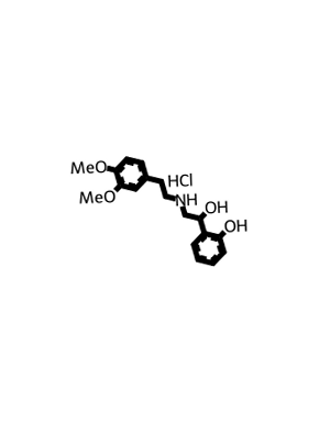 COc1ccc(CCNCC(O)c2ccccc2O)cc1OC.Cl